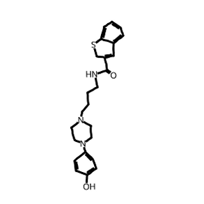 O=C(NCCCCN1CCN(c2ccc(O)cc2)CC1)C1=Cc2ccccc2SC1